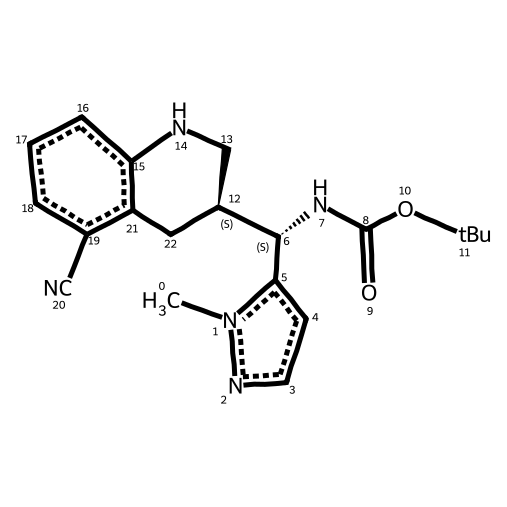 Cn1nccc1[C@@H](NC(=O)OC(C)(C)C)[C@@H]1CNc2cccc(C#N)c2C1